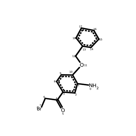 Nc1cc(C(=O)CBr)ccc1OCc1ccccc1